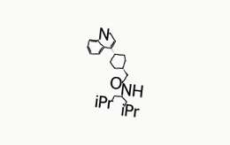 CC(C)CC(CC(C)C)NC(=O)C[C@H]1CC[C@H](c2ccnc3ccccc32)CC1